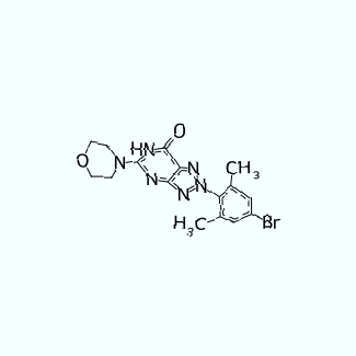 Cc1cc(Br)cc(C)c1-n1nc2nc(N3CCOCC3)[nH]c(=O)c2n1